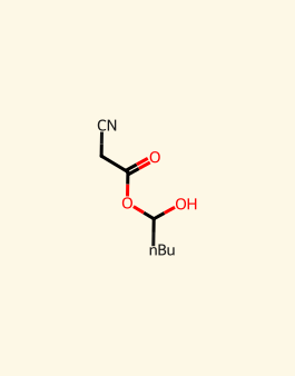 CCCCC(O)OC(=O)CC#N